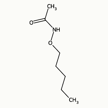 CCCCCONC(C)=O